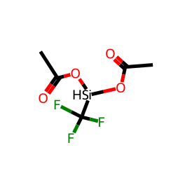 CC(=O)O[SiH](OC(C)=O)C(F)(F)F